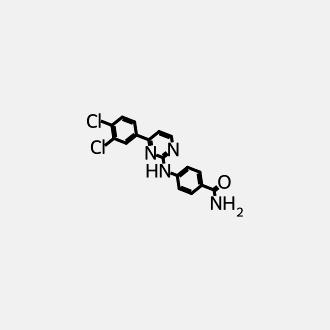 NC(=O)c1ccc(Nc2nccc(-c3ccc(Cl)c(Cl)c3)n2)cc1